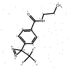 CCCNC(=O)c1ccc(C2(C(F)(F)F)N=N2)cc1